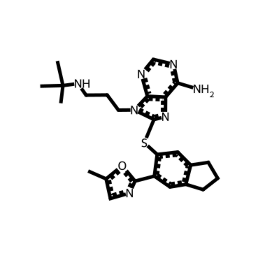 Cc1cnc(-c2cc3c(cc2Sc2nc4c(N)ncnc4n2CCCNC(C)(C)C)CCC3)o1